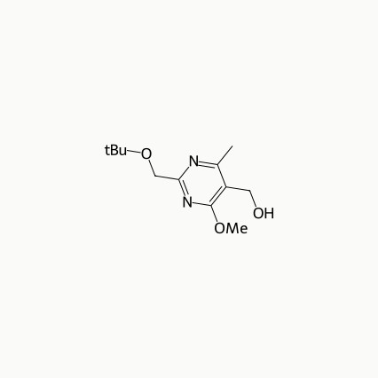 COc1nc(COC(C)(C)C)nc(C)c1CO